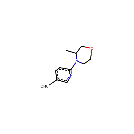 CC1COCCN1c1ccc(C=O)cn1